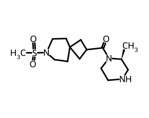 C[C@H]1CNCCN1C(=O)C1CC2(CCN(S(C)(=O)=O)CC2)C1